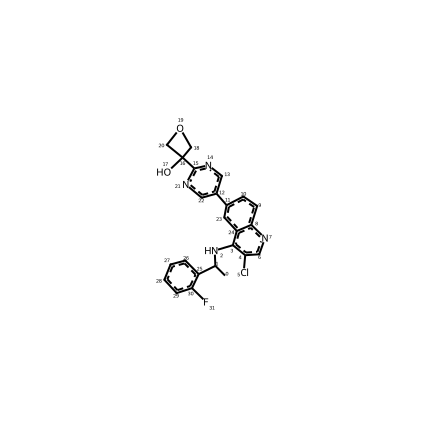 CC(Nc1c(Cl)cnc2ccc(-c3cnc(C4(O)COC4)nc3)cc12)c1ccccc1F